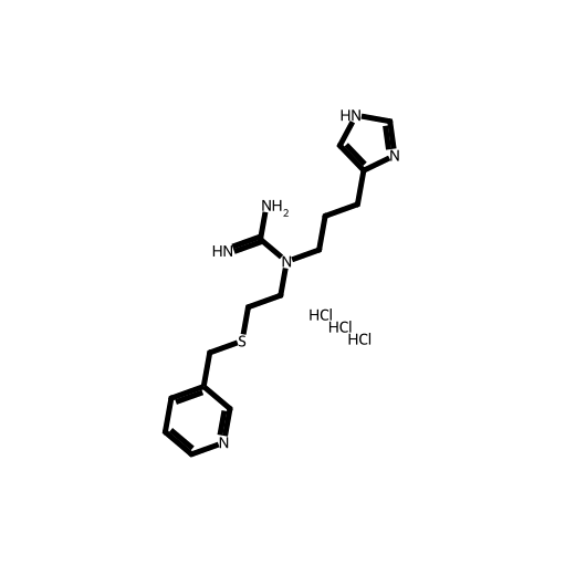 Cl.Cl.Cl.N=C(N)N(CCCc1c[nH]cn1)CCSCc1cccnc1